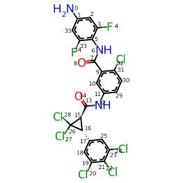 Nc1cc(F)c(NC(=O)c2cc(NC(=O)[C@H]3[C@H](c4cc(Cl)c(Cl)c(Cl)c4)C3(Cl)Cl)ccc2Cl)c(F)c1